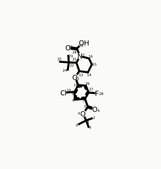 CC(C)(C)OC(=O)c1cc(Cl)c(OC2CCCN(C(=O)O)C2C(C)(C)C)cc1F